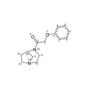 O=C(COc1ccccc1)N1CCN2CCC1C2